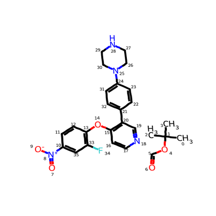 CC(C)(C)OC=O.O=[N+]([O-])c1ccc(Oc2ccncc2-c2ccc(N3CCNCC3)cc2)c(F)c1